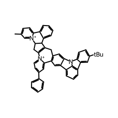 Cc1ccc2[n+](c1)C1CC3=C(Cc4cc5c(cc4-c4cc(-c6ccccc6)cc[n+]43)c3cccc4c6cc(C(C)(C)C)ccc6n5c43)C1c1ccccc1-2